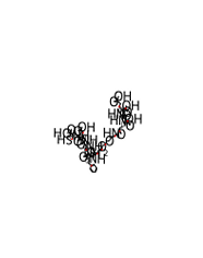 N[C@@H](CNC(=O)[C@H](Cc1ccccc1)NC(=O)CCCOCCOCCNC(=O)CC[C@H](NC(=O)N[C@@H](CCC(=O)O)C(=O)O)C(=O)O)C(=O)N[C@@H](CC(=O)O)C(=O)N[C@@H](CS)C(=O)O